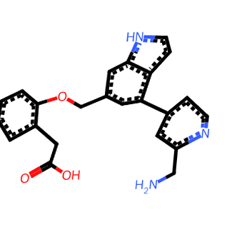 NCc1cc(-c2cc(COc3ccccc3CC(=O)O)cc3[nH]ccc23)ccn1